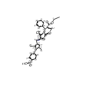 CCOC(=O)C1=C(C)N=c2s/c(=C\c3cc(C)n(-c4ccc([N+](=O)O)cc4)c3C)c(=O)n2C1c1ccccc1